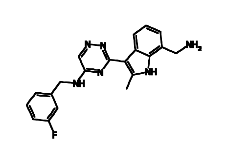 Cc1[nH]c2c(CN)cccc2c1-c1nncc(NCc2cccc(F)c2)n1